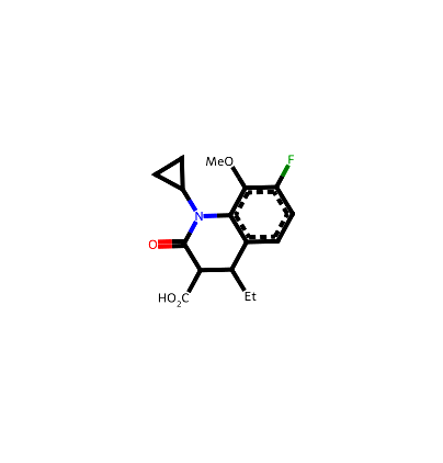 CCC1c2ccc(F)c(OC)c2N(C2CC2)C(=O)C1C(=O)O